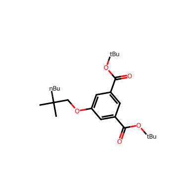 CCCCC(C)(C)COc1cc(C(=O)OC(C)(C)C)cc(C(=O)OC(C)(C)C)c1